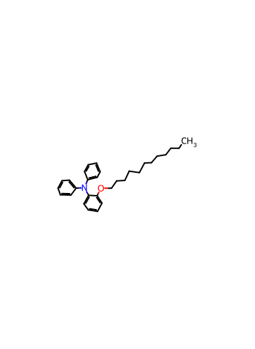 CCCCCCCCCCCCOc1ccccc1N(c1ccccc1)c1ccccc1